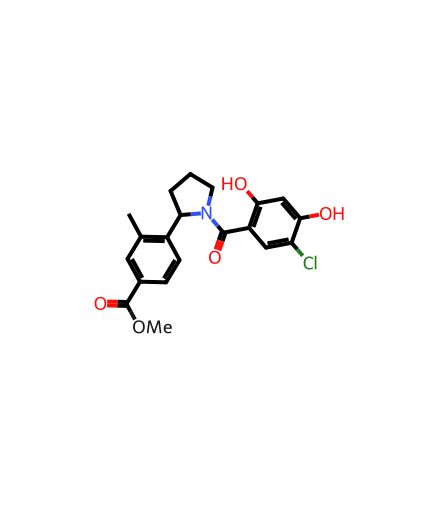 COC(=O)c1ccc(C2CCCN2C(=O)c2cc(Cl)c(O)cc2O)c(C)c1